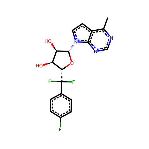 Cc1ncnc2c1ccn2[C@@H]1O[C@H](C(F)(F)c2ccc(F)cc2)[C@@H](O)[C@H]1O